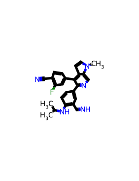 CC(C)Nc1ccc(-c2ncc3c(ccn3C)c2-c2ccc(C#N)c(F)c2)cc1C=N